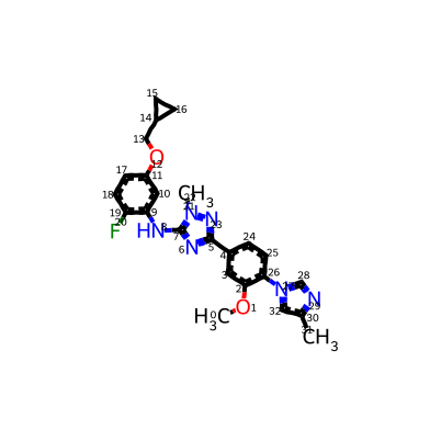 COc1cc(-c2nc(Nc3cc(OCC4CC4)ccc3F)n(C)n2)ccc1-n1cnc(C)c1